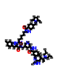 C=C(C1=CC2(C)CC=C(C(=O)Nc3cncc(CNC(=O)C(CC4=CCC(C)C=C4)NC(=O)CCCCCNC(=O)C4CCC(CN5C(=C)CCC5=C)CC4)c3)C=C2N=C(NC)C1)N(CCC)CCC